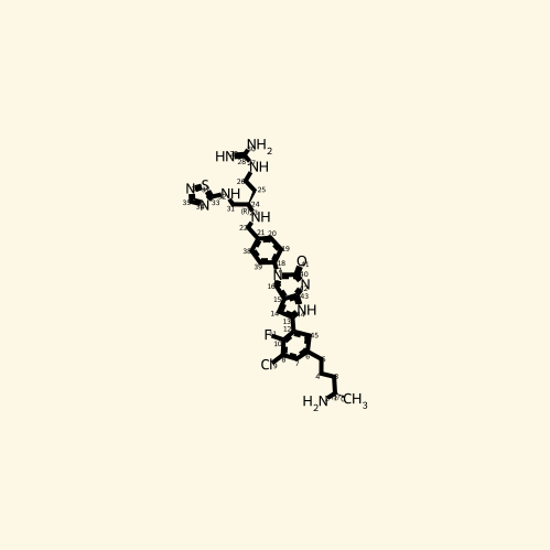 C[C@H](N)CCCc1cc(Cl)c(F)c(-c2cc3cn(-c4ccc(CN[C@H](CCNC(=N)N)CNc5ncns5)cc4)c(=O)nc3[nH]2)c1